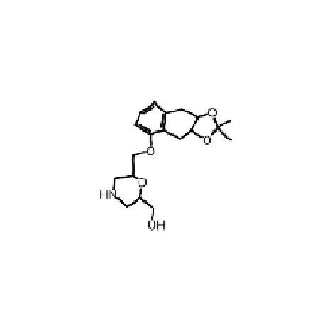 CC1(C)OC2Cc3cccc(OCC4CNCC(CO)O4)c3CC2O1